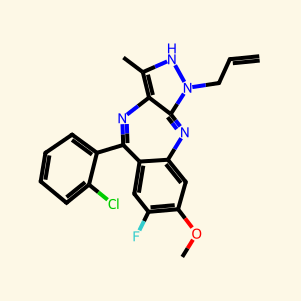 C=CCN1NC(C)=C2N=C(c3ccccc3Cl)c3cc(F)c(OC)cc3N=C21